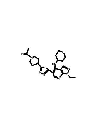 CCn1ncc2c(NC3CCOCC3)c(-c3nnc(C4CCN(C(C)=O)CC4)o3)cnc21